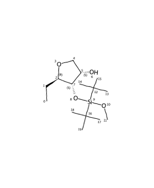 CC[C@H]1OC[C@H](O)[C@@H]1O[Si](OC)(C(C)(C)C)C(C)(C)C